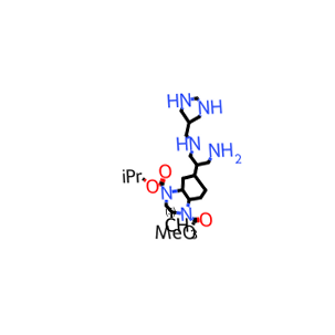 COC(=O)N1C2CCC(C(CN)CNCC3CNCNC3)CC2N(C(=O)OC(C)C)C[C@@H]1C